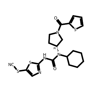 N#CSc1cnc(NC(=O)N(C2CCCCC2)[C@@H]2CCN(C(=O)c3cccs3)C2)s1